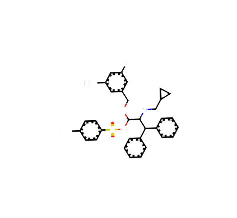 Cc1ccc(S(=O)(=O)OC(OCc2cc(C)cc(C)c2)C(NCC2CC2)C(c2ccccc2)c2ccccc2)cc1